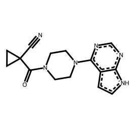 N#CC1(C(=O)N2CCN(c3ncnc4[nH]ccc34)CC2)CC1